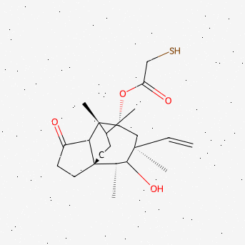 C=C[C@]1(C)C[C@@H](OC(=O)CS)[C@]2(C)C(C)CC[C@]3(CCC(=O)C32)[C@@H](C)C1O